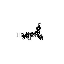 C[C@@H]1COCCN1c1nc(-c2ccc(F)cc2)cc(N2CCN(c3ncc(C(=O)O)cc3Cl)CC2)n1